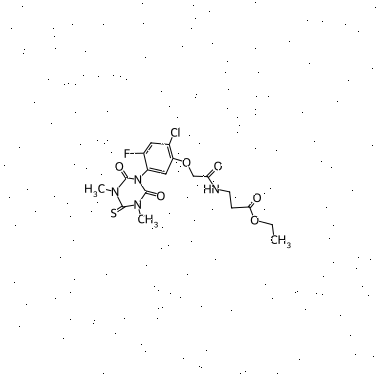 CCOC(=O)CCNC(=O)COc1cc(-n2c(=O)n(C)c(=S)n(C)c2=O)c(F)cc1Cl